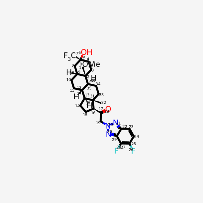 COC[C@]12CC[C@](O)(C(F)(F)F)C[C@H]1CC[C@H]1[C@@H]3CC[C@H](C(=O)Cn4nc5ccc(F)c(F)c5n4)[C@@]3(C)CC[C@@H]12